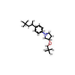 CC(CC(C)(C)C)c1ccc(N2CC[C@@H](OCC(C)(C)C)C2)cc1